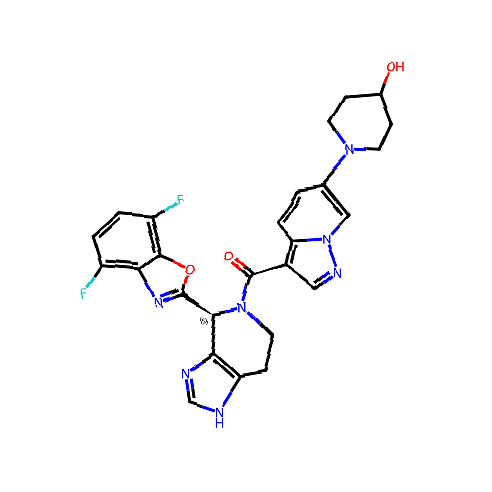 O=C(c1cnn2cc(N3CCC(O)CC3)ccc12)N1CCc2[nH]cnc2[C@H]1c1nc2c(F)ccc(F)c2o1